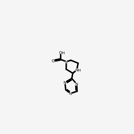 O=C(O)N1CCNC(c2ncncn2)C1